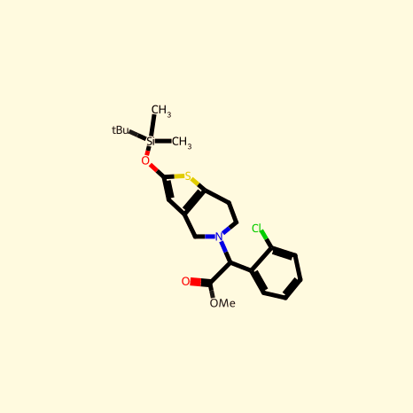 COC(=O)C(c1ccccc1Cl)N1CCc2sc(O[Si](C)(C)C(C)(C)C)cc2C1